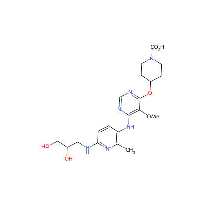 COc1c(Nc2ccc(NCC(O)CO)nc2C)ncnc1OC1CCN(C(=O)O)CC1